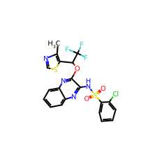 Cc1ncsc1C(Oc1nc2ccccc2nc1NS(=O)(=O)c1ccccc1Cl)C(F)(F)F